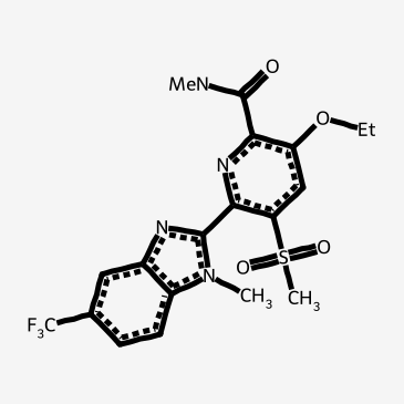 CCOc1cc(S(C)(=O)=O)c(-c2nc3cc(C(F)(F)F)ccc3n2C)nc1C(=O)NC